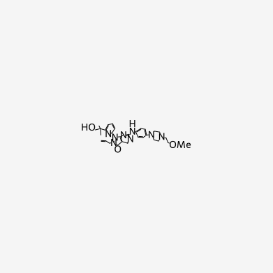 C=CCn1c(=O)c2cnc(Nc3ccc(N4CCN(CCOC)CC4)cc3)nc2n1-c1cccc(C(C)(C)CO)n1